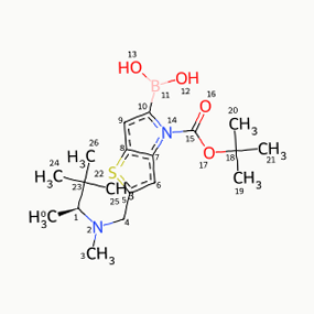 C[C@H](N(C)Cc1cc2c(cc(B(O)O)n2C(=O)OC(C)(C)C)s1)C(C)(C)C